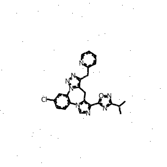 CC(C)c1noc(-c2ncn3c2Cc2c(Cc4ccccn4)nnn2-c2cc(Cl)ccc2-3)n1